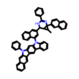 CC1C2C(c3cc(-n4c5ccccc5c5cc6c7cc8ccccc8cc7n(-c7ccccc7)c6cc54)c4ccccc4c3)NC(c3ccccc3)=NC12c1ccc2ccccc2c1